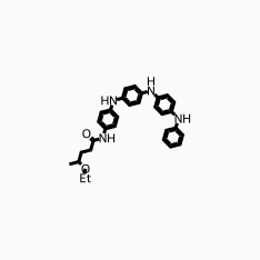 CCOC(C)CCC(=O)Nc1ccc(Nc2ccc(Nc3ccc(Nc4ccccc4)cc3)cc2)cc1